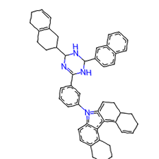 C1=CC2=C(CC1)CCC(C1N=C(c3cccc(-n4c5c(c6c7c(ccc64)CCCC7)=C4C=CCCC4CC=5)c3)NC(c3ccc4ccccc4c3)N1)C2